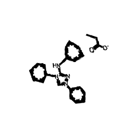 CCC(=O)[O-].c1ccc(Nc2nn(-c3ccccc3)c[n+]2-c2ccccc2)cc1